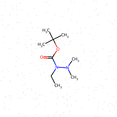 CCN(C(=O)OC(C)(C)C)N(C)C